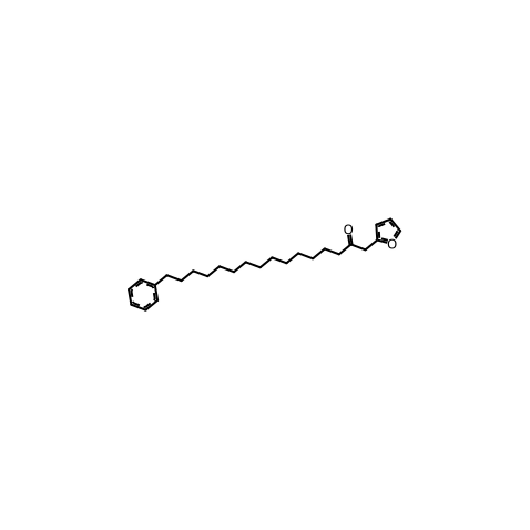 O=C(CCCCCCCCCCCCCCc1ccccc1)Cc1ccco1